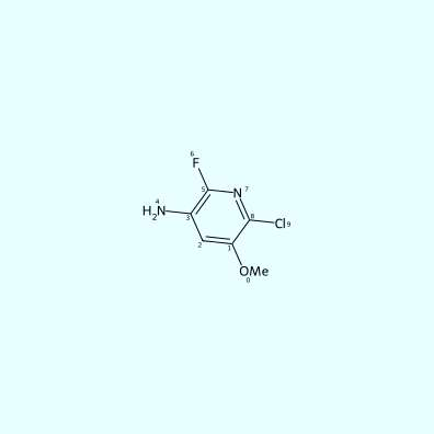 COc1cc(N)c(F)nc1Cl